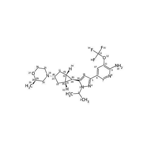 CC(C)n1nc(-c2cnc(N)c(OC(F)(F)F)c2)cc1[C@H]1[C@@H]2C[C@H](N3CCO[C@H](C)C3)C[C@@H]21